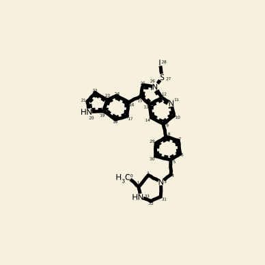 CC1CN(Cc2ccc(-c3cnc4c(c3)c(-c3ccc5[nH]ccc5c3)cn4SI)cc2)CCN1